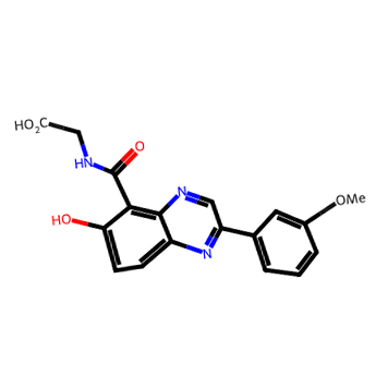 COc1cccc(-c2cnc3c(C(=O)NCC(=O)O)c(O)ccc3n2)c1